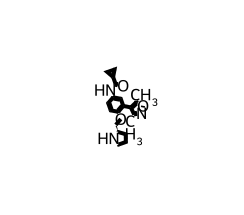 Cc1noc(C)c1-c1cc(NC(=O)C2CC2)ccc1OC[C@@H]1CCCN1